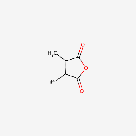 CC(C)C1C(=O)OC(=O)C1C